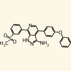 CS(=O)(=O)c1cccc(-c2ncc(-c3ccc(Oc4ccccc4)cc3)c3c(N)n[nH]c23)c1